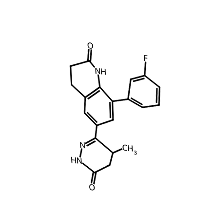 CC1CC(=O)NN=C1c1cc2c(c(-c3cccc(F)c3)c1)NC(=O)CC2